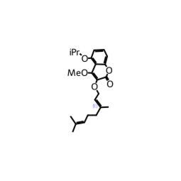 COc1c(OC/C=C(\C)CCC=C(C)C)c(=O)oc2cccc(OC(C)C)c12